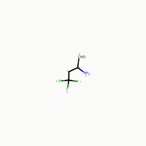 NC(C=O)CC(F)(F)F